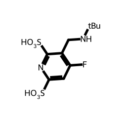 CC(C)(C)NCc1c(F)cc(S(=O)(=O)O)nc1S(=O)(=O)O